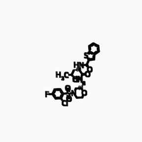 CC(C)C[C@H](NC(=O)c1cc2ccccc2s1)C(=O)NC[C@H]1CN(S(=O)(=O)c2ccc(F)cc2Cl)CCO1